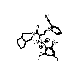 N#Cc1cccn1CCC(NS(=O)(=O)c1c(F)cc(F)cc1Br)C(=O)N1CCC2CCCCC2C1